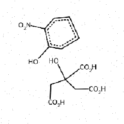 O=C(O)CC(O)(CC(=O)O)C(=O)O.O=[N+]([O-])c1ccccc1O